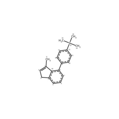 CC1=C[CH]c2cccc(-c3ccc([Si](C)(C)C)cc3)c21